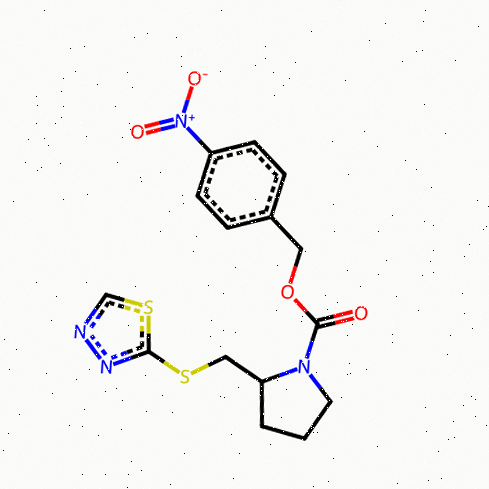 O=C(OCc1ccc([N+](=O)[O-])cc1)N1CCCC1CSc1nncs1